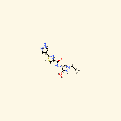 COc1nn(CC2CC2)cc1NC(=O)c1csc(-c2cn[nH]c2)n1